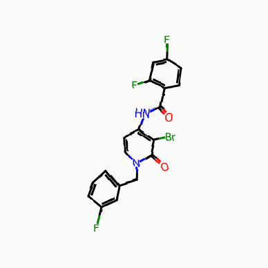 O=C(Nc1ccn(Cc2cccc(F)c2)c(=O)c1Br)c1ccc(F)cc1F